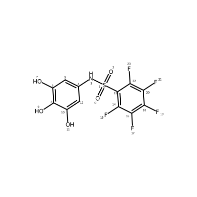 O=S(=O)(Nc1cc(O)c(O)c(O)c1)c1c(F)c(F)c(F)c(F)c1F